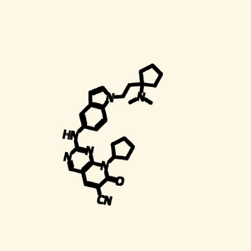 CN(C)C1(CCn2ccc3cc(Nc4ncc5cc(C#N)c(=O)n(C6CCCC6)c5n4)ccc32)CCCC1